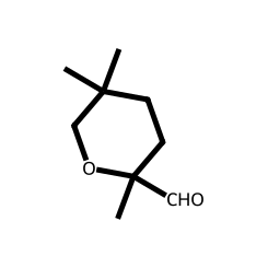 CC1(C)CCC(C)(C=O)OC1